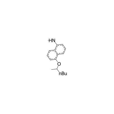 CCCCC(C)Oc1cccc2c([NH])cccc12